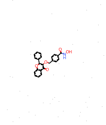 O=C(NO)c1ccc(COc2c(-c3ccccc3)oc3ccccc3c2=O)cc1